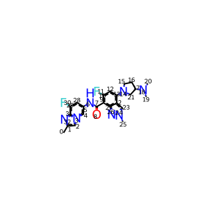 Cc1cn2cc(NC(=O)c3c(F)cc(N4CC[C@@H](N(C)C)C4)c4cn(C)nc34)cc(F)c2n1